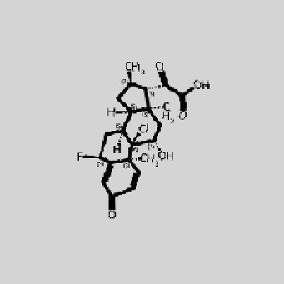 C[C@@H]1C[C@H]2[C@@H]3C[C@H](F)C4=CC(=O)C=C[C@]4(C)[C@@]3(Cl)[C@@H](O)C[C@]2(C)[C@H]1C(=O)C(=O)O